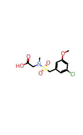 COc1cc(Cl)cc(CS(=O)(=O)N(C)CC(=O)O)c1